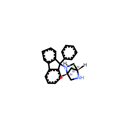 F[C@H]1[C@@H]2CN(C3(c4ccccc4)c4ccccc4-c4ccccc43)[C@H]1CN2